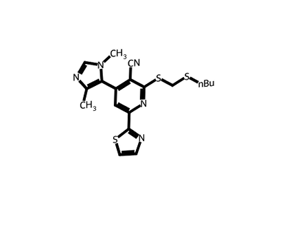 CCCCSCSc1nc(-c2nccs2)cc(-c2c(C)ncn2C)c1C#N